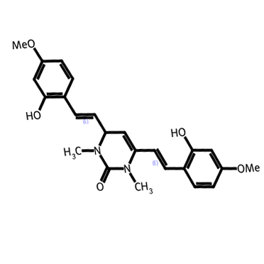 COc1ccc(/C=C/C2=CC(/C=C/c3ccc(OC)cc3O)N(C)C(=O)N2C)c(O)c1